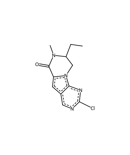 CCC1Cn2c(cc3cnc(Cl)nc32)C(=O)N1C